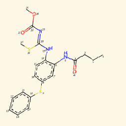 CCCC(=O)Nc1cc(Sc2ccccc2)ccc1NC(=NC(=O)OC)SC